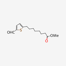 COC(=O)CCCCCCCc1ccc(C=O)s1